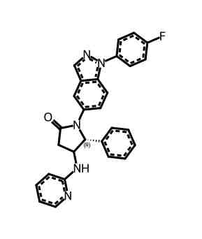 O=C1CC(Nc2ccccn2)[C@@H](c2ccccc2)N1c1ccc2c(cnn2-c2ccc(F)cc2)c1